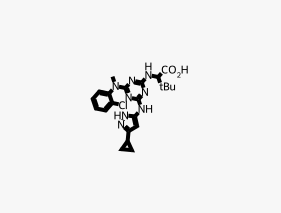 CN(c1nc(Nc2cc(C3CC3)n[nH]2)nc(NC(C(=O)O)C(C)(C)C)n1)c1ccccc1Cl